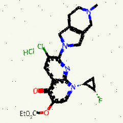 CCOC(=O)Oc1cn([C@@H]2C[C@@H]2F)c2nc(N3CC4=C(CN(C)CC4)C3)c(Cl)cc2c1=O.Cl